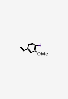 C=[C]c1ccc(I)c(OC)c1